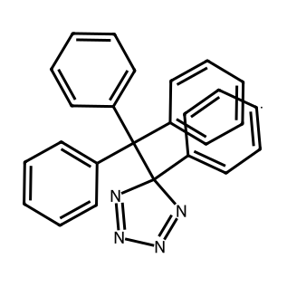 [c]1ccc(C2(C(c3ccccc3)(c3ccccc3)c3ccccc3)N=NN=N2)cc1